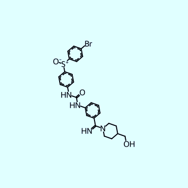 N=C(c1cccc(NC(=O)Nc2ccc([S+]([O-])c3ccc(Br)cc3)cc2)c1)N1CCC(CO)CC1